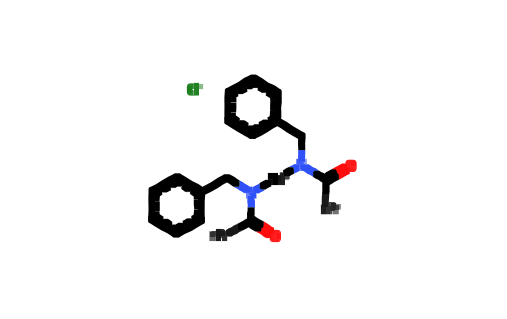 CCCC(=O)[N](Cc1ccccc1)[Nd+][N](Cc1ccccc1)C(=O)CCC.[Cl-]